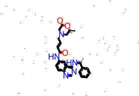 C[C@H]1CN(CC=CC(=O)Nc2ccc3ncnc(N[C@H](C)c4ccccc4)c3c2)CC(=O)O1